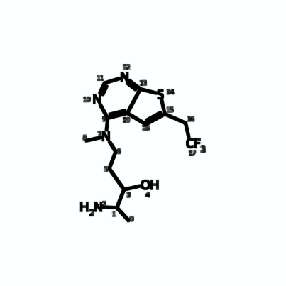 CC(N)C(O)CCN(C)c1ncnc2sc(CC(F)(F)F)cc12